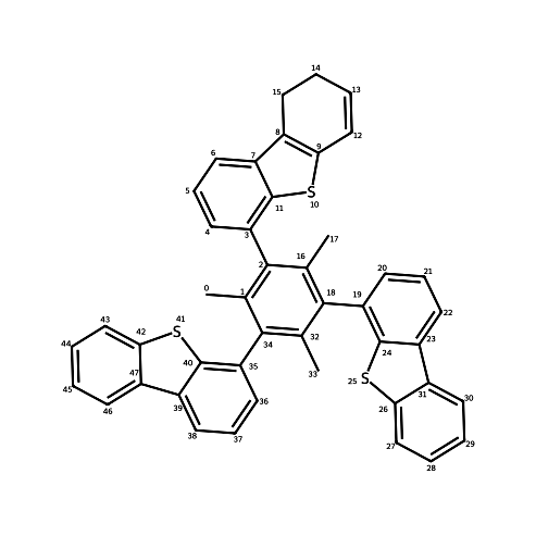 Cc1c(-c2cccc3c4c(sc23)C=CCC4)c(C)c(-c2cccc3c2sc2ccccc23)c(C)c1-c1cccc2c1sc1ccccc12